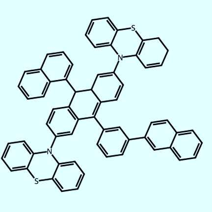 C1=CC2=C(CC1)Sc1ccccc1N2C1=CC2C(=C(c3cccc(-c4ccc5ccccc5c4)c3)c3cc(N4c5ccccc5Sc5ccccc54)ccc3C2c2cccc3ccccc23)C=C1